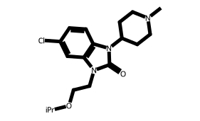 CC(C)OCCn1c(=O)n(C2CCN(C)CC2)c2ccc(Cl)cc21